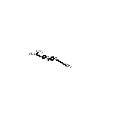 C=CCCCCCCCCOc1ccc(C(=O)Oc2ccc(CCC[C@@H](C)CC)cc2)cc1